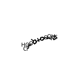 Cc1cc(C(C)(C)c2ccc(OC[C@H](O)CN3CCSCC3)cc2)ccc1OC[C@@H](O)CCl